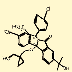 CC(C)(O)c1ccc2c(c1)C(=O)N([C@@H](CC(=O)O)c1ccc(Cl)cc1)[C@@]2(OCC1(CO)CC1)c1ccc(Cl)cc1